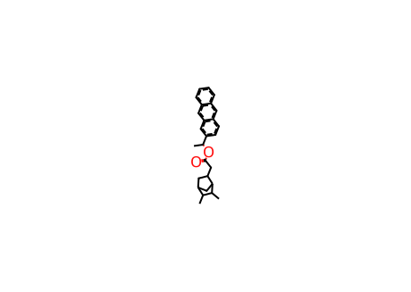 CC(OC(=O)CC1CC2CC1C(C)C2C)c1ccc2cc3ccccc3cc2c1